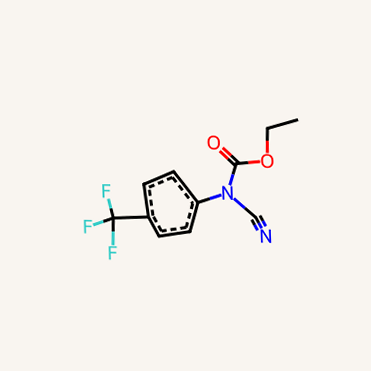 CCOC(=O)N(C#N)c1ccc(C(F)(F)F)cc1